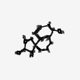 O=C1N[C@]2(CCCc3c2ccnc3Cl)CO1